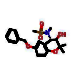 CN([C@H]1c2cc(OCc3ccccc3)ccc2OC(C)(C)[C@@H]1O)S(C)(=O)=O